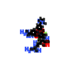 CN1CCN=C1c1cccc(Oc2nc(Oc3cc(C(=N)N)ccc3O)c(F)c(NC(CCCCNC(=N)N)C(=O)O)c2F)c1